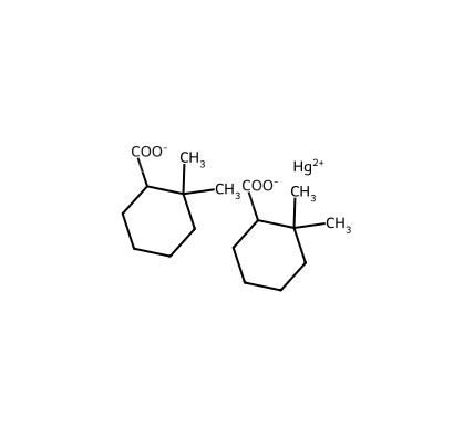 CC1(C)CCCCC1C(=O)[O-].CC1(C)CCCCC1C(=O)[O-].[Hg+2]